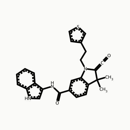 CC1(C)C(=C=O)N(CCc2ccsc2)c2cc(C(=O)Nc3c[nH]c4ccccc34)ccc21